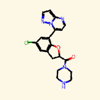 O=C(C1Cc2cc(Cl)cc(-c3ccnc4ccnn34)c2O1)N1CCNCC1